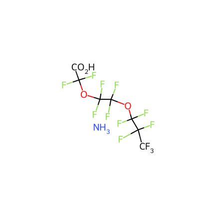 N.O=C(O)C(F)(F)OC(F)(F)C(F)(F)OC(F)(F)C(F)(F)C(F)(F)F